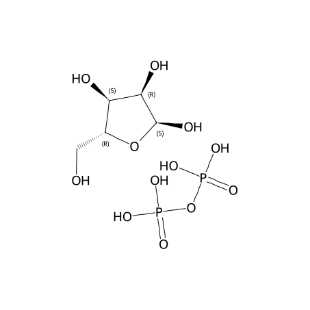 O=P(O)(O)OP(=O)(O)O.OC[C@H]1O[C@H](O)[C@H](O)[C@@H]1O